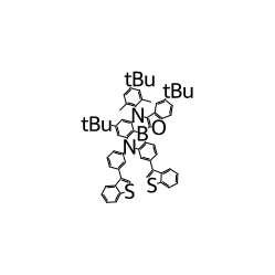 Cc1cc(C(C)(C)C)cc(C)c1N1c2cc(C(C)(C)C)cc3c2B(c2ccc(-c4csc5ccccc45)cc2N3c2cccc(-c3csc4ccccc34)c2)c2oc3ccc(C(C)(C)C)cc3c21